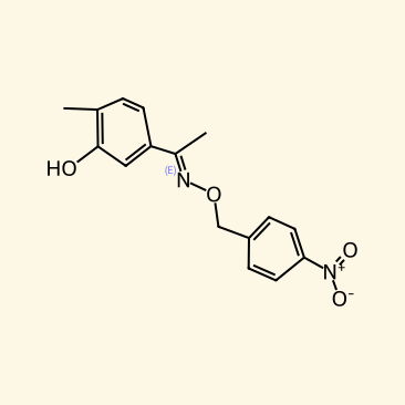 C/C(=N\OCc1ccc([N+](=O)[O-])cc1)c1ccc(C)c(O)c1